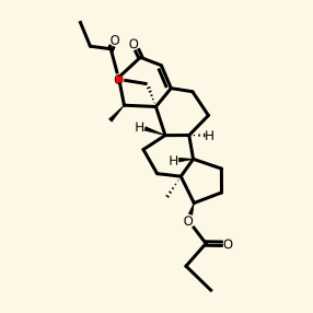 CCC(=O)OC[C@@]12C(=CC(=O)C[C@@H]1C)CC[C@H]1[C@@H]3CC[C@@H](OC(=O)CC)[C@@]3(C)CC[C@@H]12